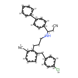 N#CCC(NCCCc1c(C#N)cccc1Cc1ccc(Cl)cc1)c1ccc(-c2ccccc2)cc1